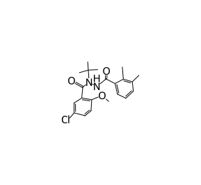 COc1ccc(Cl)cc1C(=O)N(NC(=O)c1cccc(C)c1C)C(C)(C)C